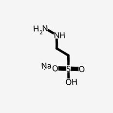 NNCCS(=O)(=O)O.[Na]